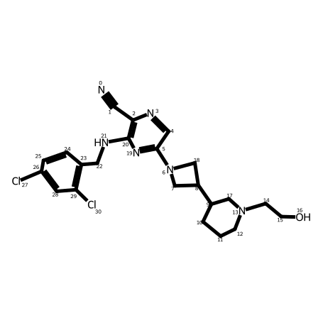 N#Cc1ncc(N2CC(C3CCCN(CCO)C3)C2)nc1NCc1ccc(Cl)cc1Cl